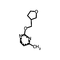 Cc1ccnc(OCC2CCOC2)n1